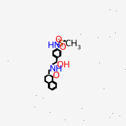 CCS(=O)(=O)Nc1ccc(C(O)CNCC2CCc3ccccc3C2=O)cc1